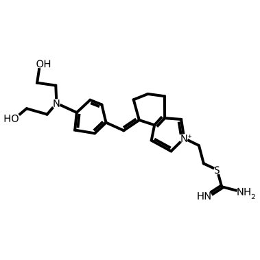 N=C(N)SCC[n+]1ccc2c(c1)CCC/C2=C\c1ccc(N(CCO)CCO)cc1